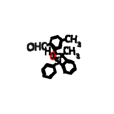 Cc1ccc(C=O)c(O[Si]2(c3ccccc3)c3ccccc3C2(C)C)c1